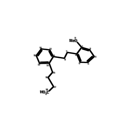 COc1ccccc1CCc1ccccc1CCCC(=O)O